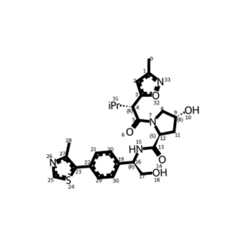 Cc1cc([C@H](C(=O)N2C[C@H](O)C[C@H]2C(=O)N[C@@H](CO)c2ccc(-c3scnc3C)cc2)C(C)C)on1